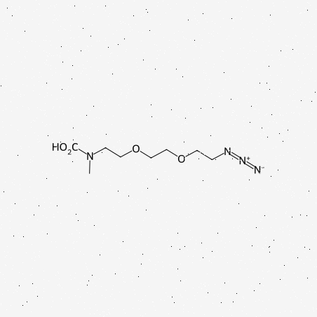 CN(CCOCCOCCN=[N+]=[N-])C(=O)O